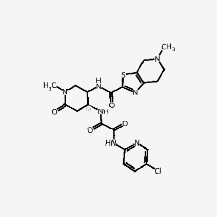 CN1CCc2nc(C(=O)NC3CN(C)C(=O)C[C@@H]3NC(=O)C(=O)Nc3ccc(Cl)cn3)sc2C1